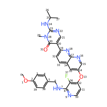 COc1ccc(CNc2nccc(Oc3cnc4nc(-c5cnc(NC(C)C)n(C)c5=O)ccc4c3)c2F)cc1